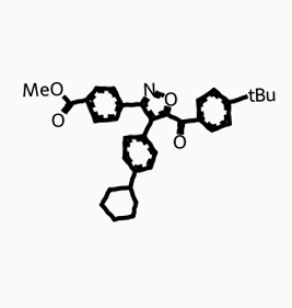 COC(=O)c1ccc(-c2noc(C(=O)c3ccc(C(C)(C)C)cc3)c2-c2ccc(C3CCCCC3)cc2)cc1